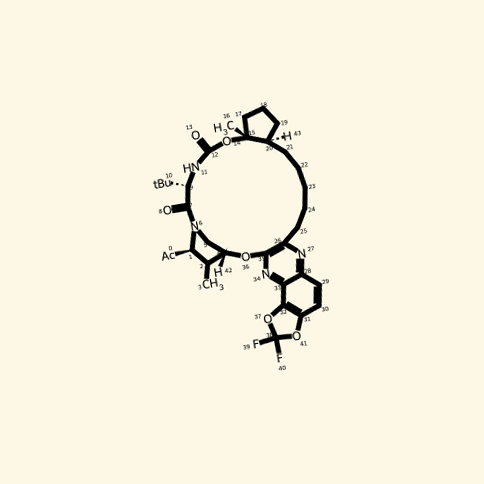 CC(=O)[C@@H]1C(C)[C@@H]2CN1C(=O)[C@H](C(C)(C)C)NC(=O)O[C@]1(C)CCC[C@H]1CCCCCc1nc3ccc4c(c3nc1O2)OC(F)(F)O4